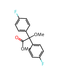 COC(=O)C(OC)(c1ccc(F)cc1)c1ccc(F)cc1